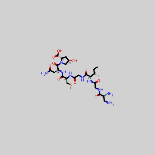 CC[C@H](C)[C@H](NC(=O)CNC(=O)[C@@H](N)CN)C(=O)NCC(=O)N[C@@H](CS)C(=O)N[C@@H](CC(N)=O)C(=O)N1C[C@H](O)C[C@H]1C(=O)O